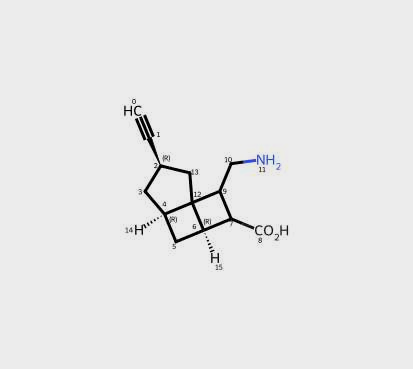 C#C[C@@H]1C[C@@H]2C[C@@H]3C(C(=O)O)C(CN)C23C1